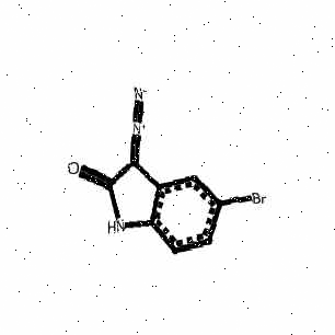 [N-]=[N+]=C1C(=O)Nc2ccc(Br)cc21